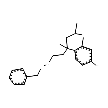 CC1CC(CCNOCc2ccccc2)(C(=O)O)c2ccc(F)cc2O1